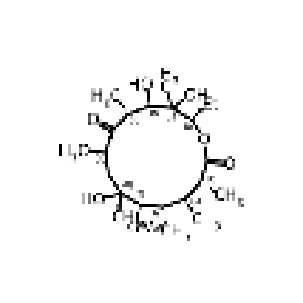 CC[C@H]1OC(=O)[C@H](C)[C@@H](C)[C@H](C)[C@@H](OC)[C@](C)(O)C[C@@H](C)C(=O)[C@H](C)[C@@H](O)[C@]1(C)O